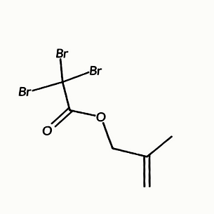 C=C(C)COC(=O)C(Br)(Br)Br